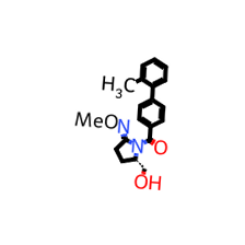 CO/N=C1\CC[C@@H](CO)N1C(=O)c1ccc(-c2ccccc2C)cc1